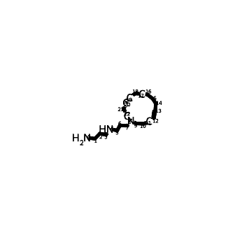 NCCCNCCCN1CCC/C=C\CCCCCCCCC1